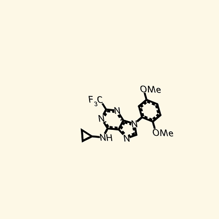 COc1ccc(OC)c(-n2cnc3c(NC4CC4)nc(C(F)(F)F)nc32)c1